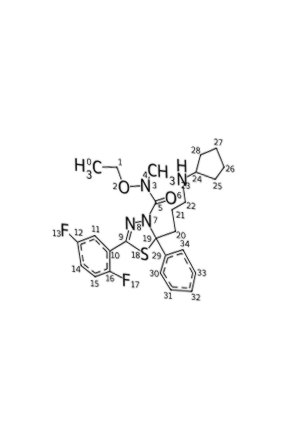 CCON(C)C(=O)N1N=C(c2cc(F)ccc2F)SC1(CCCNC1CCCC1)c1ccccc1